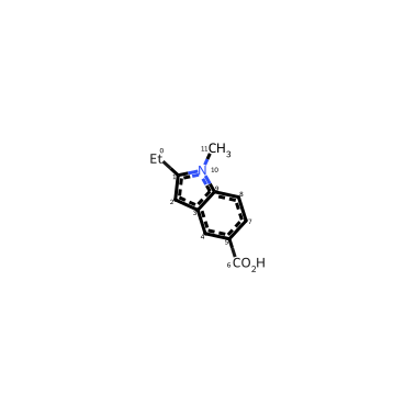 CCc1cc2cc(C(=O)O)ccc2n1C